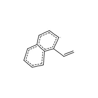 C=Cc1[c]ccc2ccccc12